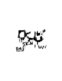 COc1cn(C)nc1C(N[S@+]([O-])C(C)(C)C)C1(C)CCCC1